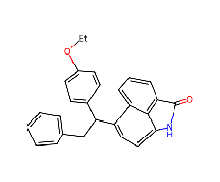 CCOc1ccc(C(Cc2ccccc2)c2ccc3c4c(cccc24)C(=O)N3)cc1